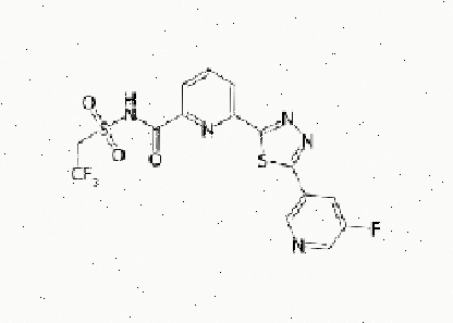 O=C(NS(=O)(=O)CC(F)(F)F)c1cccc(-c2nnc(-c3cncc(F)c3)s2)n1